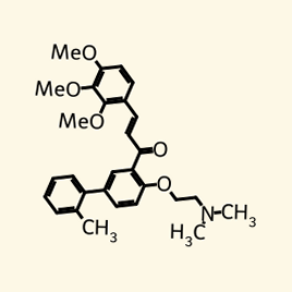 COc1ccc(C=CC(=O)c2cc(-c3ccccc3C)ccc2OCCN(C)C)c(OC)c1OC